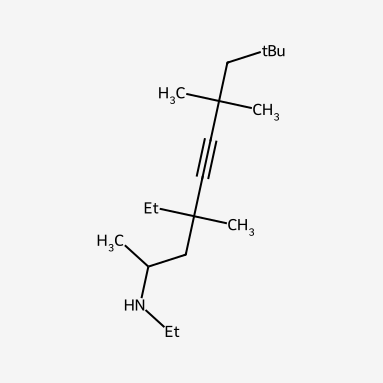 CCNC(C)CC(C)(C#CC(C)(C)CC(C)(C)C)CC